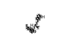 COC(=O)[C@H](CCN(CCCCc1ccc2c(n1)NCCC2)C1CC1)NC(=O)N1CC[C@@H](F)C1